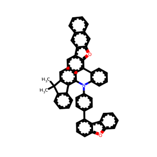 CC1(C)c2ccccc2-c2c(N(c3ccc(-c4cccc5oc6ccccc6c45)cc3)c3ccccc3-c3cccc4c3oc3cc5ccccc5cc34)cccc21